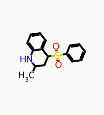 CC1CC(S(=O)(=O)c2ccccc2)c2ccccc2N1